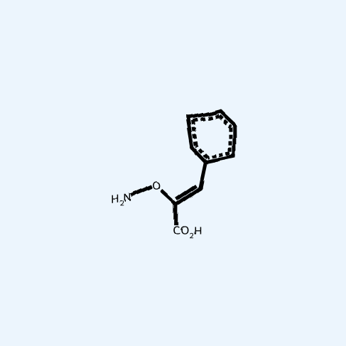 NOC(=Cc1ccccc1)C(=O)O